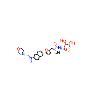 N#C/C(=C\c1ccc(-c2ccc3cc(NCCN4CCOCC4)ccc3c2)o1)C(=O)NC[C@H]1OSC[C@@H](O)[C@@H]1O